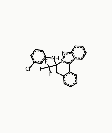 FC(F)(F)C1(Nc2cccc(Cl)c2)Cc2ccccc2-c2c3ccccc3nn21